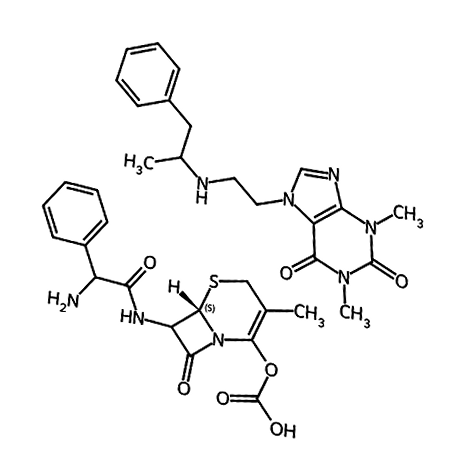 CC(Cc1ccccc1)NCCn1cnc2c1c(=O)n(C)c(=O)n2C.CC1=C(OC(=O)O)N2C(=O)C(NC(=O)C(N)c3ccccc3)[C@@H]2SC1